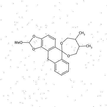 COC1Oc2ccc3c(c2O1)Sc1ccccc1C31OCC(C)C(C)CO1